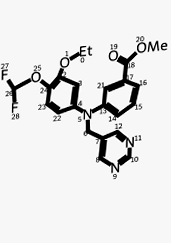 CCOc1cc(N(Cc2cncnc2)c2cccc(C(=O)OC)c2)ccc1OC(F)F